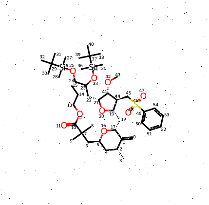 C=C1[C@H](C)C[C@@H](CC(C)(C)C(=O)OCCC)O[C@@H]1C[C@@H]1O[C@H](CC(CO[Si](C)(C)C(C)(C)C)O[Si](C)(C)C(C)(C)C)[C@H](OC)[C@H]1CS(=O)(=O)c1ccccc1